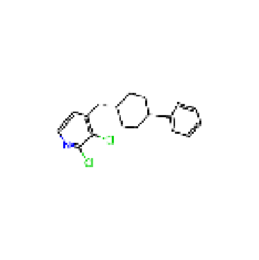 Clc1nccc(C[C@H]2CC[C@H](c3ccccc3)CC2)c1Cl